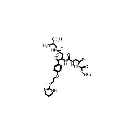 CCCCOC(=O)NC(CC)CNC(=O)NC(CS(=O)(=O)NC[C@H](N)C(=O)O)C(=O)c1ccc(OCCNC2=NCCCN2)cc1